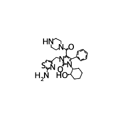 Nc1nc(Cn2c(C(=O)N3CCNCC3)c(-c3ccccc3)n(C3CCCC[C@H]3O)c2=O)cs1